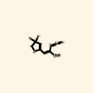 CCOC(=O)/C(=C/C1=CC(F)(F)CO1)N=[N+]=[N-]